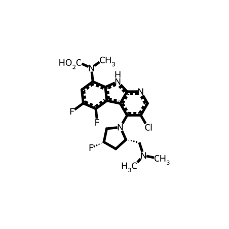 CN(C)C[C@@H]1C[C@H](F)CN1c1c(Cl)cnc2[nH]c3c(N(C)C(=O)O)cc(F)c(F)c3c12